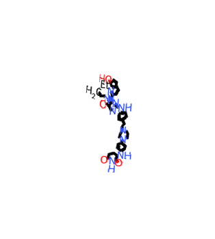 C=CCn1c(=O)c2cnc(Nc3ccc(CCN4CCCN(c5ccc(NC6CCC(=O)NC6=O)cc5)CC4)cc3)nc2n1-c1ccc2c(n1)[C@@](O)(CC)CC2